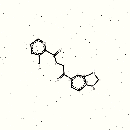 O=C(CCC(=O)c1ncccc1F)c1ccc2c(c1)OCO2